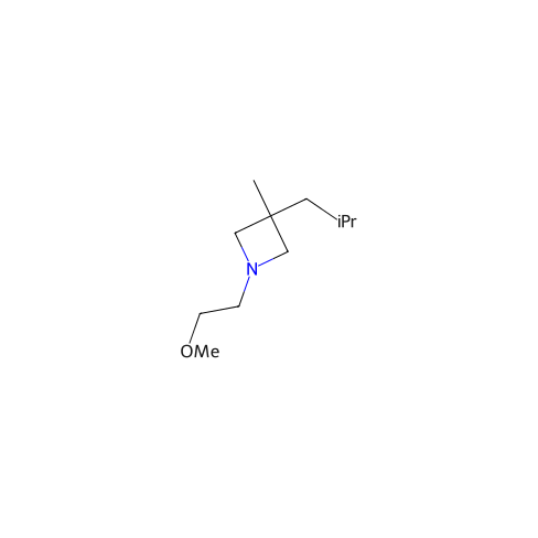 COCCN1CC(C)(CC(C)C)C1